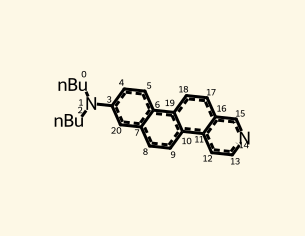 CCCCN(CCCC)c1ccc2c(ccc3c4ccncc4ccc23)c1